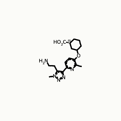 Cc1nc(-c2nnn(C)c2CCN)ccc1OC1CCC[C@H](C(=O)O)C1